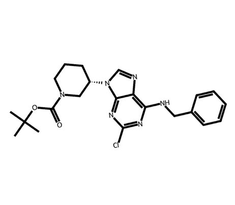 CC(C)(C)OC(=O)N1CCC[C@H](n2cnc3c(NCc4ccccc4)nc(Cl)nc32)C1